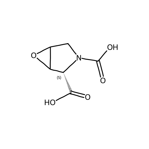 O=C(O)[C@@H]1C2OC2CN1C(=O)O